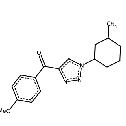 COc1ccc(C(=O)c2cn(C3CCCC(C)C3)nn2)cc1